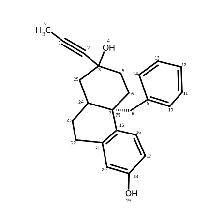 CC#CC1(O)CC[C@@]2(Cc3ccccc3)c3ccc(O)cc3CCC2C1